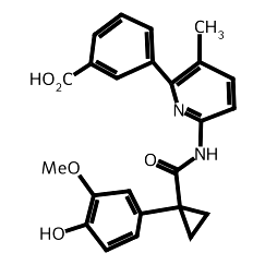 COc1cc(C2(C(=O)Nc3ccc(C)c(-c4cccc(C(=O)O)c4)n3)CC2)ccc1O